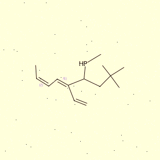 C=C/C(=C\C=C/C)C(CC(C)(C)C)PC